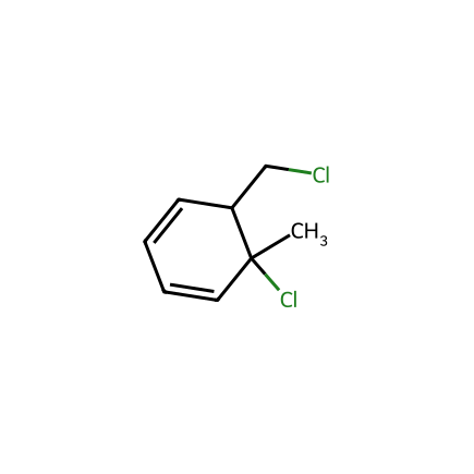 CC1(Cl)C=CC=CC1CCl